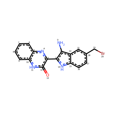 Nc1c(-c2nc3ccccc3[nH]c2=O)[nH]c2ccc(CBr)cc12